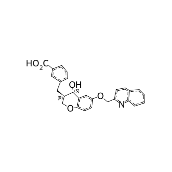 O=C(O)c1cccc(C[C@@H]2COc3ccc(OCc4ccc5ccccc5n4)cc3[C@H]2O)c1